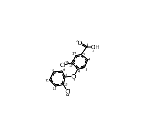 O=C(O)c1ccc(Oc2ccccc2Cl)c(Cl)c1